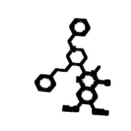 COc1cc2nc(C3CCN(Cc4ccccc4)CC3CCc3ccccc3)n(C)c(=O)c2cc1OC